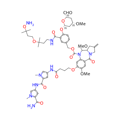 C=C1CC2C(OC)N(C(=O)OCc3ccc(O[C@H]4C[C@@H](OC)C[C@@H](C=O)O4)c(C(=O)NCCC(C)(C)OCCC(C)(C)ON)c3)c3cc(OCCCC(=O)Nc4cc(C(=O)Nc5cc(C(N)=O)n(C)c5)n(C)c4)c(OC)cc3C(=O)N2C1